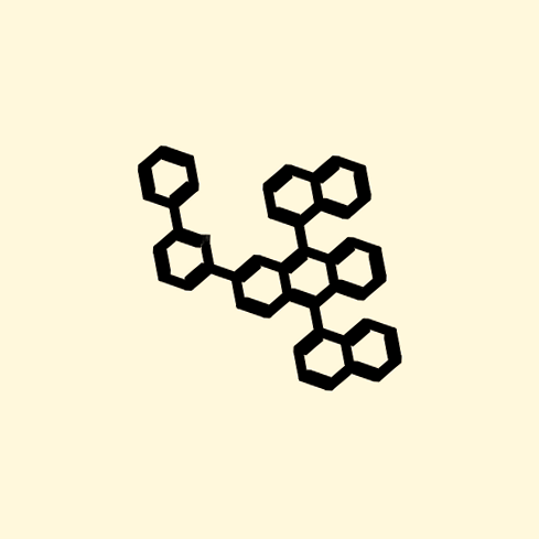 c1ccc(-c2cccc(-c3ccc4c(-c5cccc6ccccc56)c5ccccc5c(-c5cccc6ccccc56)c4c3)n2)cc1